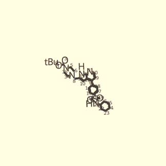 CC(C)(C)OC(=O)N1CCN(Cc2cc3c(-c4ccc(S(=O)(=O)NC5CCCCC5)cc4)ccnc3[nH]2)CC1